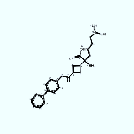 NC(CCCCB(O)O)(C(=O)O)[C@H]1C[C@@H](NCc2ccc(-c3ccccc3)cc2)C1